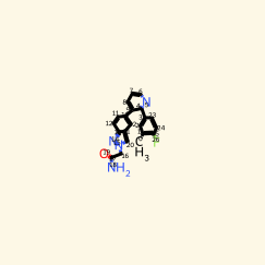 Cc1cc(-c2ncccc2-c2ccc3nn(CC(N)=O)cc3c2)ccc1F